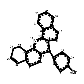 Brc1ccc(-c2c3ccc4c(c3nc3c2ccc2ccccc23)CCC=C4)cc1